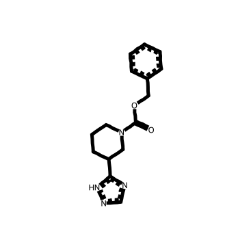 O=C(OCc1ccccc1)N1CCCC(c2ncn[nH]2)C1